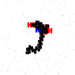 CC/C=C\C/C=C\C/C=C\CCCCCCCC(=O)N[C@@H](Cc1ccc(O)cc1)C(=O)O